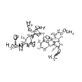 COc1ccc(C(OCC[C@H]2O[C@@H](n3ccc(NC(C)=O)nc3=O)[C@H](OC)[C@@H]2O)(c2ccccc2)c2ccc(OC)cc2)cc1